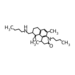 CCCCNCC1CCc2cc(C)c3c(c2C1=O)C(C)CC(=O)N3CCCC